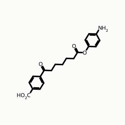 Nc1ccc(OC(=O)CCCCCC(=O)c2ccc(C(=O)O)cc2)cc1